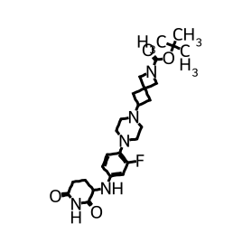 CC(C)(C)OC(=O)N1CC2(CC(N3CCN(c4ccc(NC5CCC(=O)NC5=O)cc4F)CC3)C2)C1